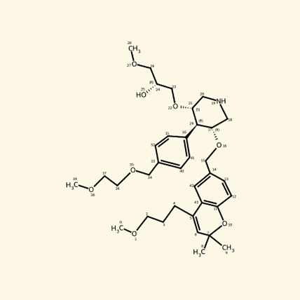 COCCCC1=CC(C)(C)Oc2ccc(CO[C@H]3CNC[C@@H](OC[C@H](O)COC)[C@@H]3c3ccc(COCCOC)cc3)cc21